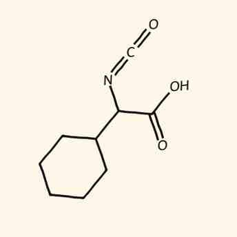 O=C=NC(C(=O)O)C1CCCCC1